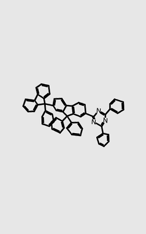 c1ccc(-c2nc(-c3ccccc3)nc(-c3ccc4c(c3)C(c3ccccc3)(c3ccccc3)c3cc(C5(c6ccccc6)c6ccccc6-c6ccccc65)ccc3-4)n2)cc1